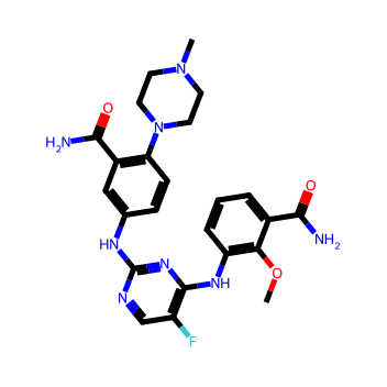 COc1c(Nc2nc(Nc3ccc(N4CCN(C)CC4)c(C(N)=O)c3)ncc2F)cccc1C(N)=O